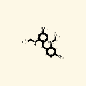 CCNc1cc(C)ccc1Cc1ccc(C)cc1NCC